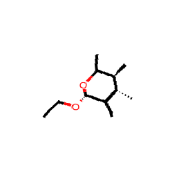 CCO[C@@H]1OC(C)[C@@H](C)[C@H](C)C1C